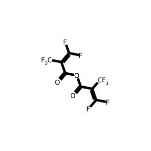 O=C(OC(=O)C(=C(F)F)C(F)(F)F)C(=C(F)F)C(F)(F)F